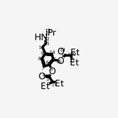 CCC(CC)C(=O)Oc1ccc(CCNC(C)C)cc1OC(=O)C(CC)CC